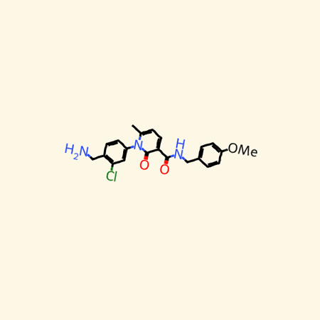 COc1ccc(CNC(=O)c2ccc(C)n(-c3ccc(CN)c(Cl)c3)c2=O)cc1